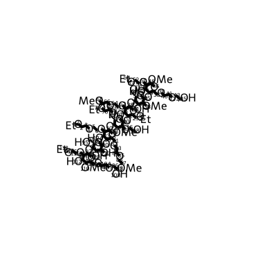 CCOCCOCCOC1[C@@H](O[C@@H]2C(OC)C(OCCO)[C@@H](O[C@H]3C(COCC)O[C@H](O[C@@H]4C(O)C(OC)[C@@H](O[C@H]5C(COCCOCCO)O[C@H](OC)C(OCCOCC)[C@@H]5O)O[C@@H]4CO)C(OCCOCCOC)[C@@H]3O)O[C@@H]2COCCOCC)OC(COCCOCCOC)[C@H](O[C@H]2O[C@H](CO)[C@H](O[C@H]3OC(COCCOCCO)[C@H](OC)[C@@H](O)C3OCCOCC)C(O)C2O)[C@H]1O